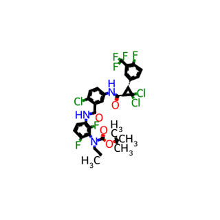 CCCN(C(=O)OC(C)(C)C)c1c(F)ccc(NC(=O)c2cc(NC(=O)[C@H]3[C@H](c4ccc(F)c(C(F)(F)F)c4)C3(Cl)Cl)ccc2Cl)c1F